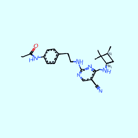 CC(=O)Nc1ccc(CCNc2ncc(C#N)c(N[C@@H]3C[C@H](C)C3(C)C)n2)cc1